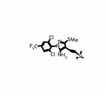 CSc1nn(-c2c(Cl)cc(C(F)(F)F)cc2Cl)c(N)c1C#C[Si](C)(C)C